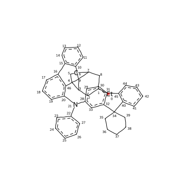 CCC1CC2CCCC(C1)C21c2ccccc2-c2cccc(N(c3ccccc3)c3ccc4c(c3)C3(CCCCC3)c3ccccc3-4)c21